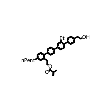 C=C(C)C(=O)OCCc1cc(CCCCC)ccc1-c1ccc(-c2ccc(-c3ccc(CCO)cc3)c(CC)c2)cc1